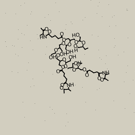 CCC(CO)OC(CO)OCC(COC(=O)CCCC(=O)NC(C)C(C)=O)OC(CO)OCC(CO)OC(CO)OCC(COC(=O)CCCC(=O)NC(C)C(C)=O)OC(CO)OCC(CO)OC(COC(=O)CCCC(=O)NC(C)C(C)=O)OC